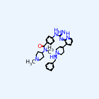 CN1CCC(N(C)C(=O)c2ccc(NC(=N)/N=c3\[nH]cccc3C3=CCN(NCc4ccccc4)CC3)cc2)CC1